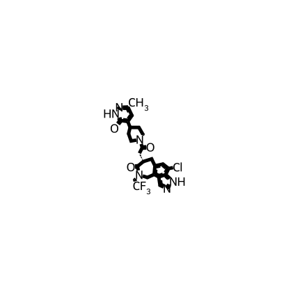 Cc1cc(C2CCN(C(=O)C[C@@H]3Cc4cc(Cl)c5[nH]ncc5c4CN(CC(F)(F)F)C3=O)CC2)c(=O)[nH]n1